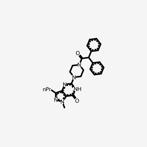 CCCc1nn(C)c2c(=O)[nH]c(N3CCN(C(=O)C(c4ccccc4)c4ccccc4)CC3)nc12